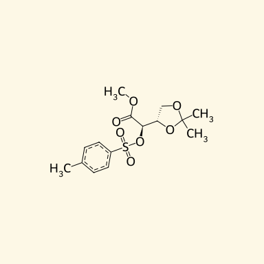 COC(=O)[C@H](OS(=O)(=O)c1ccc(C)cc1)[C@@H]1COC(C)(C)O1